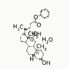 C[C@H](CCC(=O)Oc1ccccc1)[C@H]1CCC2C3CC[C@@H]4C[C@H](O)CC[C@]4(C)C3C[C@H](O)[C@@]21C.O